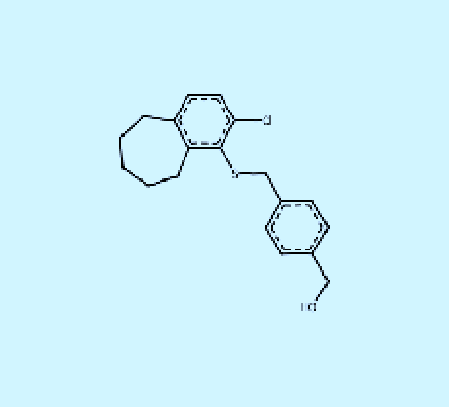 OCc1ccc(CSc2c(Cl)ccc3c2CCCCC3)cc1